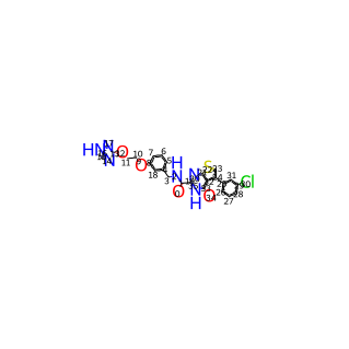 O=C(NCc1cccc(OCCOc2nc[nH]n2)c1)c1nc2scc(-c3cccc(Cl)c3)c2c(=O)[nH]1